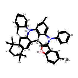 Cc1cc2c3c(c1)N(c1ccccc1)c1c(oc4ccc(C(C)(C)C)cc14)B3c1cc3c(cc1N2c1ccccc1C)C(C)(C)CCC3(C)C